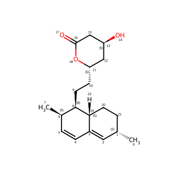 C[C@@H]1C=C2C=C[C@@H](C)[C@@H](CC[C@H]3C[C@H](O)CC(=O)O3)[C@@H]2[CH]C1